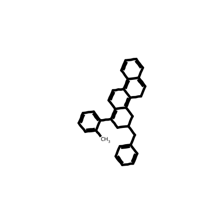 Cc1ccccc1C1=c2ccc3c(c2CC(Cc2ccccc2)C1)CC=c1ccccc1=3